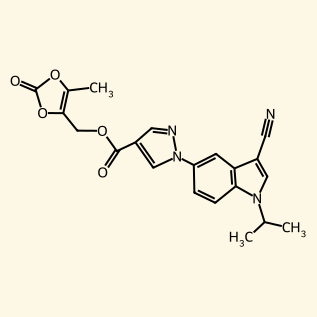 Cc1oc(=O)oc1COC(=O)c1cnn(-c2ccc3c(c2)c(C#N)cn3C(C)C)c1